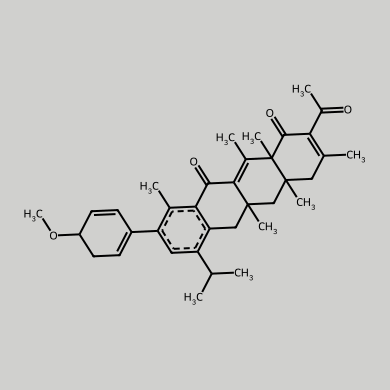 COC1C=CC(c2cc(C(C)C)c3c(c2C)C(=O)C2=C(C)C4(C)C(=O)C(C(C)=O)=C(C)CC4(C)CC2(C)C3)=CC1